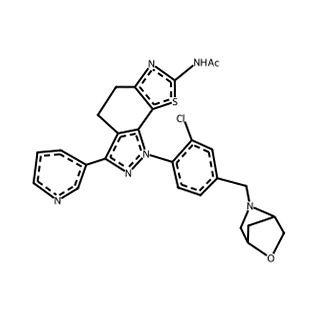 CC(=O)Nc1nc2c(s1)-c1c(c(-c3cccnc3)nn1-c1ccc(CN3CC4CC3CO4)cc1Cl)CC2